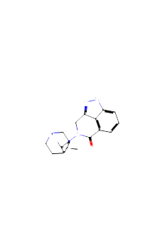 O=C1c2cccc3[nH]nc(c23)CN1[C@H]1CN2CCC1CC2